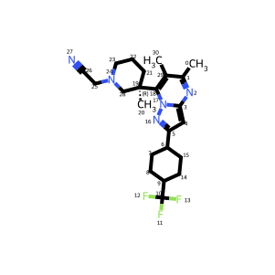 Cc1nc2cc(C3CCC(C(F)(F)F)CC3)nn2c([C@]2(C)CCCN(CC#N)C2)c1C